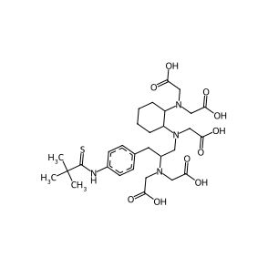 CC(C)(C)C(=S)Nc1ccc(CC(CN(CC(=O)O)C2CCCCC2N(CC(=O)O)CC(=O)O)N(CC(=O)O)CC(=O)O)cc1